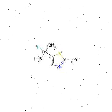 BC(B)(F)c1cnc(C(C)C)s1